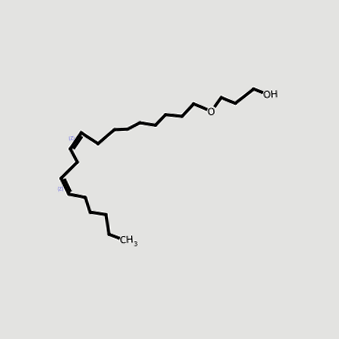 CCCCC/C=C\C/C=C\CCCCCCCCOCCCO